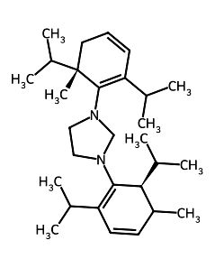 CC(C)C1=C(N2CCN(C3=C(C(C)C)C=CC[C@@]3(C)C(C)C)C2)[C@@H](C(C)C)C(C)C=C1